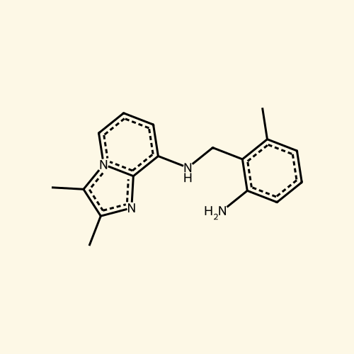 Cc1cccc(N)c1CNc1cccn2c(C)c(C)nc12